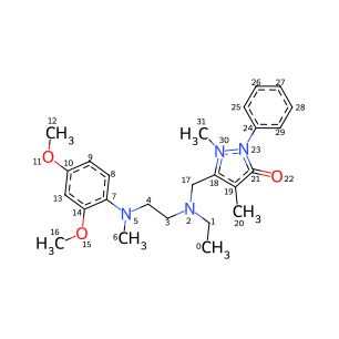 CCN(CCN(C)c1ccc(OC)cc1OC)Cc1c(C)c(=O)n(-c2ccccc2)n1C